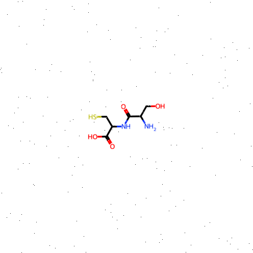 NC(CO)C(=O)NC(CS)C(=O)O